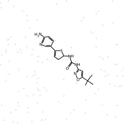 CC(C)(C)c1cc(NC(=O)NC2CC=C(c3ccc(N)nc3)S2)no1